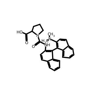 CN(C)c1ccc2ccccc2c1-c1c(NC(=O)N2CCCC2C(=O)O)ccc2ccccc12